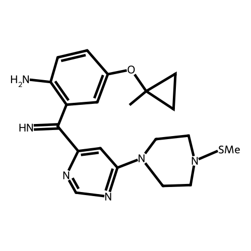 CSN1CCN(c2cc(C(=N)c3cc(OC4(C)CC4)ccc3N)ncn2)CC1